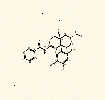 N#Cc1cc([C@]23CO[C@@H](CF)C[C@H]2CSC(NC(=O)c2ccccc2)=N3)c(F)cc1F